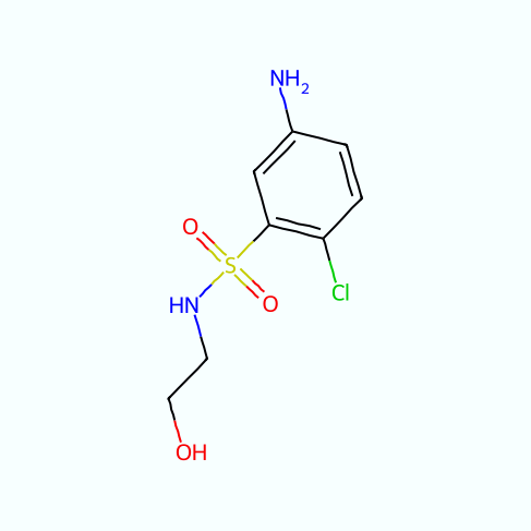 Nc1ccc(Cl)c(S(=O)(=O)NCCO)c1